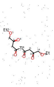 CCOCC(=O)C[C](=O)[Ti][C](=O)CC(=O)COCC